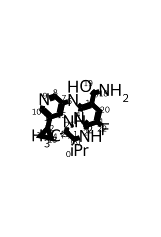 CC(C)[C@@H](Nc1nc(Nc2cncc(C3CC3)c2)c(C(N)=O)cc1F)[C@H](C)N